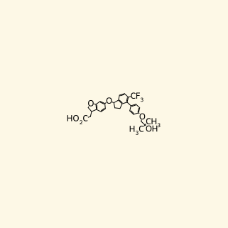 CC(C)(O)COc1ccc(-c2c(C(F)(F)F)ccc3c2CC[C@H]3Oc2ccc3c(c2)OCC3CC(=O)O)cc1